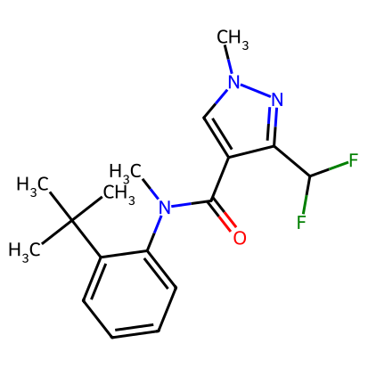 CN(C(=O)c1cn(C)nc1C(F)F)c1ccccc1C(C)(C)C